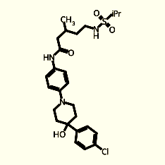 CC(CCNS(=O)(=O)C(C)C)CC(=O)Nc1ccc(N2CCC(O)(c3ccc(Cl)cc3)CC2)cc1